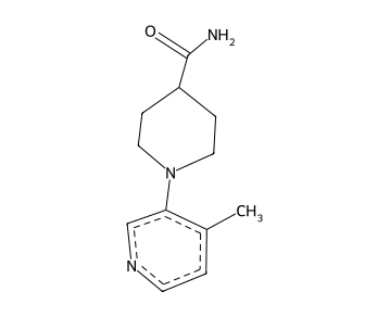 Cc1ccncc1N1CCC(C(N)=O)CC1